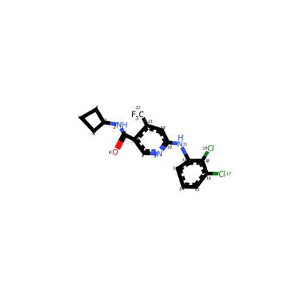 O=C(NC1CCC1)c1cnc(Nc2cccc(Cl)c2Cl)cc1C(F)(F)F